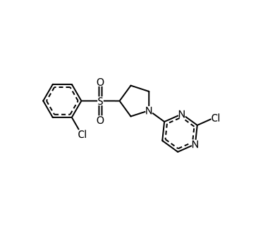 O=S(=O)(c1ccccc1Cl)C1CCN(c2ccnc(Cl)n2)C1